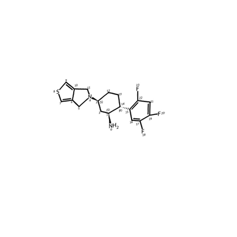 N[C@H]1C[C@@H](N2Cc3cscc3C2)CC[C@@H]1c1cc(F)c(F)cc1F